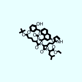 CCOC(=O)C(CC(C)C)N1C(=O)C(N2C(=O)C(CCCC(=O)OC(C)(C)C)N(C(=O)OCc3ccccc3O)C2c2cc(Cl)cc3ccccc23)C1CCc1ccc[nH]1